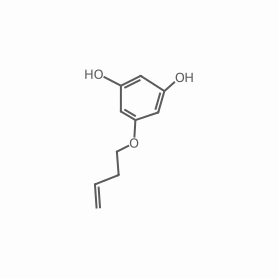 C=CCCOc1cc(O)cc(O)c1